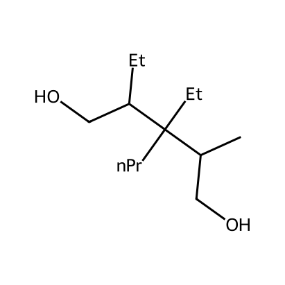 CCCC(CC)(C(C)CO)C(CC)CO